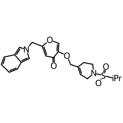 CC(C)S(=O)(=O)N1CC=C(COc2coc(Cn3cc4ccccc4c3)cc2=O)CC1